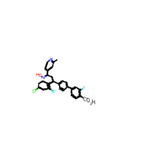 Cc1cc(/C(CC(c2ccc(-c3ccc(C(=O)O)c(F)c3)cc2)c2ccc(Cl)cc2F)=N\O)ccn1